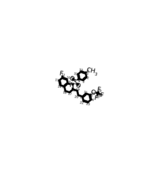 Cc1ccc(S(=O)(=O)N2c3cc(F)ccc3CCC2CCc2cccc(OC(F)(F)F)c2)cc1